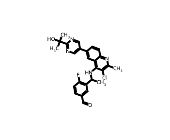 Cc1nc2ccc(-c3cnc(C(C)(C)O)nc3)cc2c(NC(C)c2cc(C=O)ccc2F)c1Cl